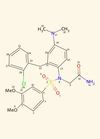 COc1ccc(S(=O)(=O)N(CC(N)=O)c2ccc(N(C)C)cc2Cc2ccccc2Cl)cc1OC